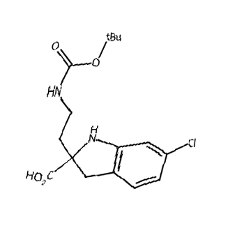 CC(C)(C)OC(=O)NCCC1(C(=O)O)Cc2ccc(Cl)cc2N1